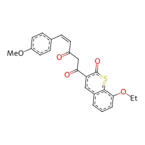 CCOc1cccc2cc(C(=O)CC(=O)/C=C\c3ccc(OC)cc3)c(=O)sc12